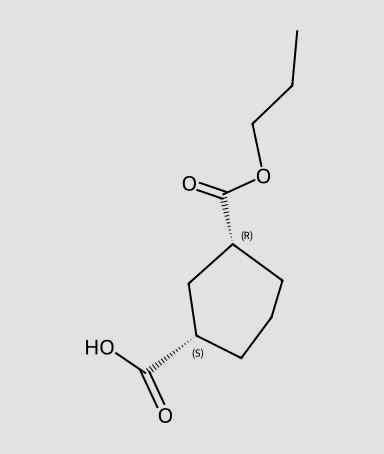 CCCOC(=O)[C@@H]1CCC[C@H](C(=O)O)C1